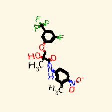 Cc1cc(NC(=O)C(C)(O)COc2cc(F)cc(C(F)(F)F)c2)ccc1[N+](=O)[O-]